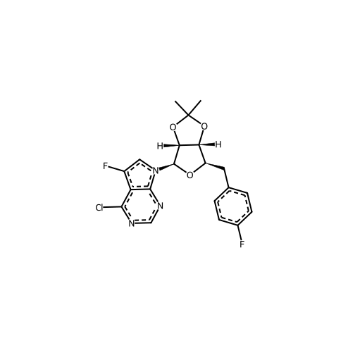 CC1(C)O[C@@H]2[C@H](O1)[C@@H](Cc1ccc(F)cc1)O[C@H]2n1cc(F)c2c(Cl)ncnc21